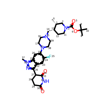 C[C@@H]1CN(C(=O)OC(C)(C)C)CC[C@@H]1CN1CCN(c2cc3c(cc2F)c(C2CCC(=O)NC2=O)nn3C)CC1